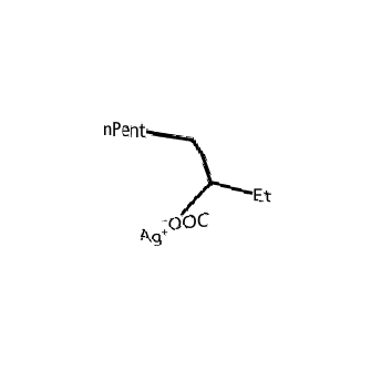 CCCCCCC(CC)C(=O)[O-].[Ag+]